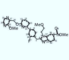 COCCn1c(Cc2ccc(-c3cccc(OCc4nccnc4OC)n3)cc2F)nc2ccc(C(=O)OC)cc21